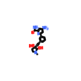 CN1CC[C@@](O)(C#Cc2cccc(-c3cc(N)cc(C(N)=O)n3)c2)C1O